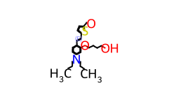 CCCCN(CCCC)c1ccc(/C=C/c2ccc(C=O)s2)c(OCCCCO)c1